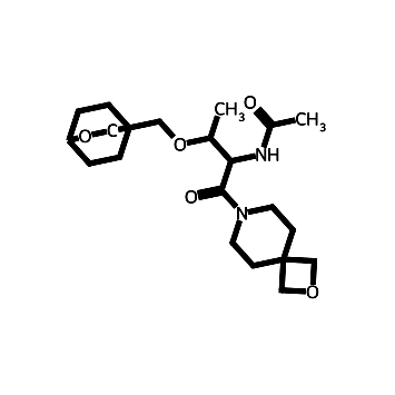 CC(=O)NC(C(=O)N1CCC2(CC1)COC2)C(C)OCC12CCC(CC1)OC2